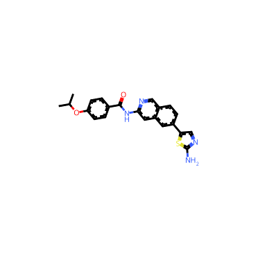 CC(C)Oc1ccc(C(=O)Nc2cc3cc(-c4cnc(N)s4)ccc3cn2)cc1